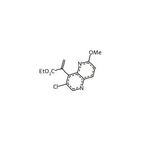 C=C(C(=O)OCC)c1c(Cl)cnc2ccc(OC)nc12